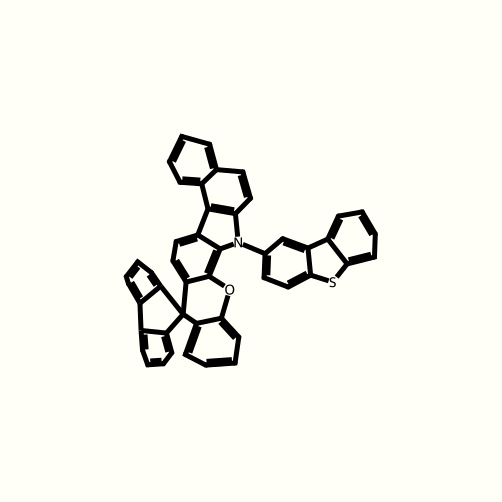 c1ccc2c(c1)Oc1c(ccc3c4c5ccccc5ccc4n(-c4ccc5sc6ccccc6c5c4)c13)C21c2ccccc2-c2ccccc21